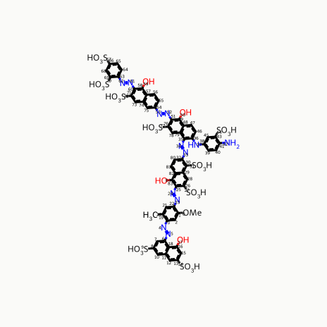 COc1cc(N=Nc2cc(S(=O)(=O)O)cc3cc(S(=O)(=O)O)cc(O)c23)c(C)cc1N=Nc1c(S(=O)(=O)O)cc2c(S(=O)(=O)O)c(N=Nc3c(Nc4ccc(N)c(S(=O)(=O)O)c4)ccc4c(O)c(N=Nc5ccc6c(O)c(N=Nc7ccc(S(=O)(=O)O)cc7S(=O)(=O)O)c(S(=O)(=O)O)cc6c5)c(S(=O)(=O)O)cc34)ccc2c1O